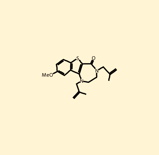 C=C(C)CN1CCN(CC(=C)C)c2c(sc3ccc(OC)cc23)C1=O